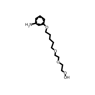 Nc1cccc(OCCCCCOCCOCCOO)c1